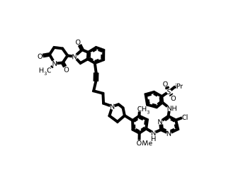 COc1cc(C2CCN(CCCC#Cc3cccc4c3CN(C3CCC(=O)N(C)C3=O)C4=O)CC2)c(C)cc1Nc1ncc(Cl)c(Nc2ccccc2S(=O)(=O)C(C)C)n1